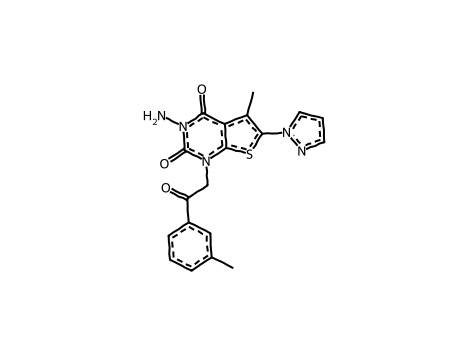 Cc1cccc(C(=O)Cn2c(=O)n(N)c(=O)c3c(C)c(-n4cccn4)sc32)c1